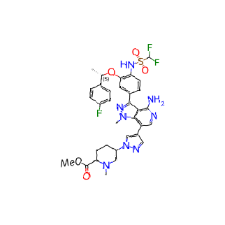 COC(=O)C1CCC(n2cc(-c3cnc(N)c4c(-c5ccc(NS(=O)(=O)C(F)F)c(O[C@@H](C)c6ccc(F)cc6)c5)nn(C)c34)cn2)CN1C